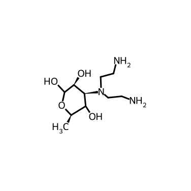 C[C@H]1OC(O)[C@@H](O)[C@@H](N(CCN)CCN)C1O